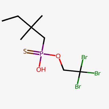 CCC(C)(C)CP(O)(=S)OCC(Br)(Br)Br